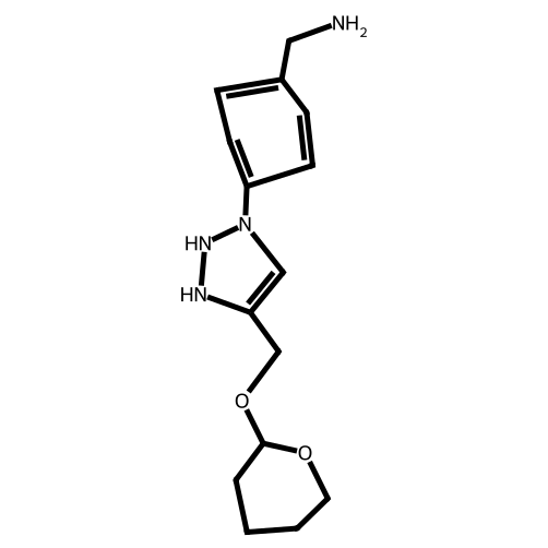 NCc1ccc(N2C=C(COC3CCCCO3)NN2)cc1